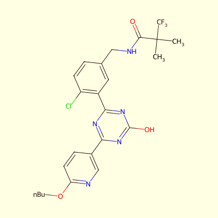 CCCCOc1ccc(-c2nc(O)nc(-c3cc(CNC(=O)C(C)(C)C(F)(F)F)ccc3Cl)n2)cn1